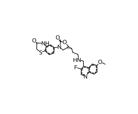 COc1ccc2ncc(F)c(CNCCC[C@H]3CN(c4ccc5c(c4)NC(=O)CS5)C(=O)O3)c2c1